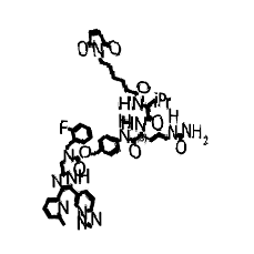 Cc1cccc(-c2nc(CN(Cc3ccccc3F)C(=O)OCc3ccc(NC(=O)[C@H](CCCNC(N)=O)NC(=O)C(NC(=O)CCCCCN4C(=O)C=CC4=O)C(C)C)cc3)[nH]c2-c2ccc3ncnn3c2)n1